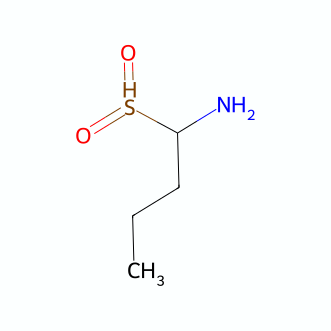 CCCC(N)[SH](=O)=O